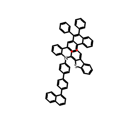 c1ccc(-c2c(-c3ccccc3)c3cc(-c4ccccc4N(c4ccc(-c5ccc(-c6cccc7ccccc67)cc5)cc4)c4cccc5c4sc4ccccc45)ccc3c3ccccc23)cc1